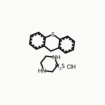 C1CNCCN1.Cl.S.c1ccc2c(c1)Cc1ccccc1S2